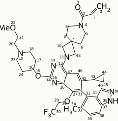 C=CC(=O)N1CCC2(CC1)CN(c1nc(OC3CCN(CCOC)CC3)nc3c(OCC(F)(F)F)c(-c4c(C)ccc5[nH]ncc45)c(C4CC4)cc13)C2